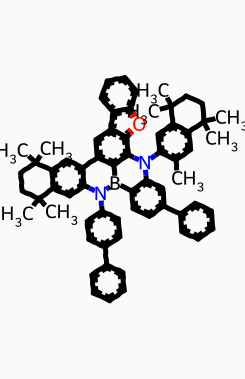 Cc1cc2c(cc1N1c3cc(-c4ccccc4)ccc3B3c4c(cc5c(oc6ccccc65)c41)-c1cc4c(cc1N3c1ccc(-c3ccccc3)cc1)C(C)(C)CCC4(C)C)C(C)(C)CCC2(C)C